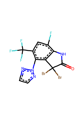 O=C1Nc2c(F)cc(C(F)(F)F)c(-n3nccn3)c2C1(Br)Br